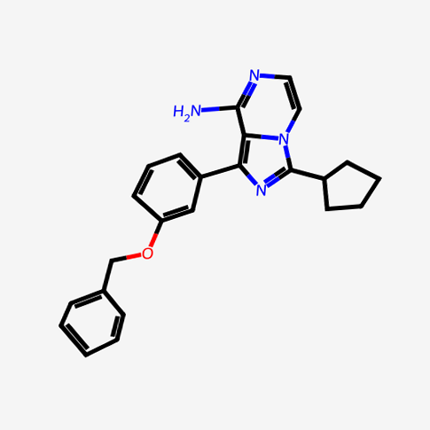 Nc1nccn2c(C3CCCC3)nc(-c3cccc(OCc4ccccc4)c3)c12